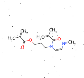 C=N/C=C\N(CCCOC(=O)C(=C)C)C(=O)C(=C)C